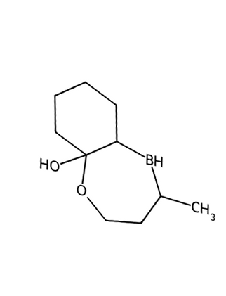 CC1BC2CCCCC2(O)OCC1